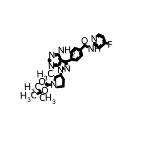 C[C@@H]1C(n2nc(-c3ccc(C(=O)Nc4cc(F)ccn4)cc3)c3c(N)ncnc32)CCCN1C(=O)OC(C)(C)C